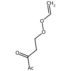 C=COOCCC(=O)C(C)=O